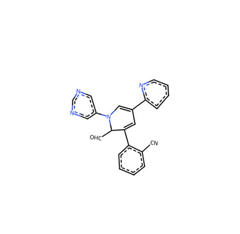 N#Cc1ccccc1C1=CC(c2ccccn2)=CN(c2cncnc2)C1C=O